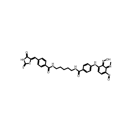 C/N=C1/C(N=O)=CC=C(Nc2ccc(C(=O)NCCCCCNC(=O)c3ccc(/C=C4\SC(=S)NC4=O)cc3)cc2)/C1=N/O